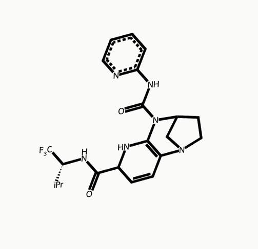 CC(C)[C@@H](NC(=O)C1C=CC2=C(N1)N(C(=O)Nc1ccccn1)C1CCN2C1)C(F)(F)F